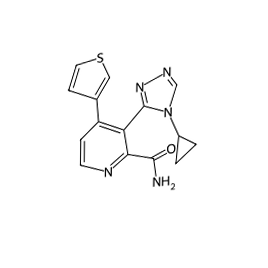 NC(=O)c1nccc(-c2ccsc2)c1-c1nncn1C1CC1